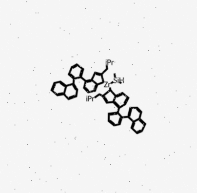 CC(C)CC1=Cc2c(-c3ccccc3-c3cccc4ccccc34)cccc2[CH]1[Zr]([CH]1C(CC(C)C)=Cc2c(-c3ccccc3-c3cccc4ccccc34)cccc21)[SiH](C)C